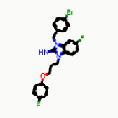 N=c1n(CCCOc2ccc(F)cc2)c2ccc(F)cc2n1Cc1ccc(Br)cc1